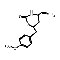 C=CC1CC(Cc2ccc(OC(C)(C)C)cc2)OC(=O)N1